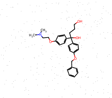 CN(C)CCOc1ccc(C(O)(CCCO)c2ccc(OCc3ccccc3)cc2)cc1